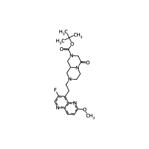 COc1ccc2ncc(F)c(CCN3CCN4C(=O)CN(C(=O)OC(C)(C)C)CC4C3)c2n1